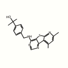 Cc1cc(C)c2c(n1)sc1c(NCc3ccc(C(C)(C)O)cc3)ncnc12